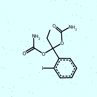 CCC(OC(N)=O)(OC(N)=O)c1ccccc1I